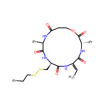 C/C=C1\NC(=O)[C@@H](CSSCCC(C)C)NC(=O)C(C(C)C)NC(=O)CCOC(=O)[C@H](C(C)C)NC1=O